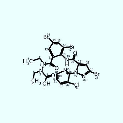 CCN(C(=O)O)N(CC)C(=O)c1cc(Br)cc(Br)c1NC(=O)c1cc(Br)nn1-c1ncccc1Cl